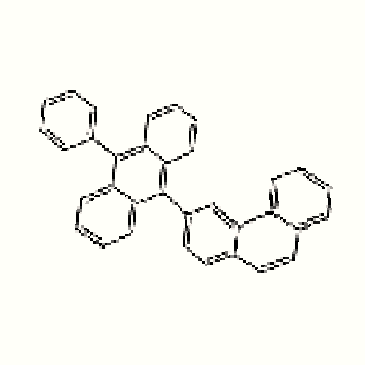 c1ccc(-c2c3ccccc3c(-c3ccc4ccc5ccccc5c4c3)c3ccccc23)cc1